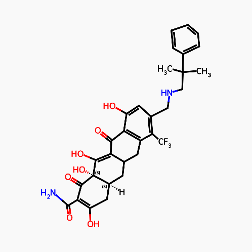 CC(C)(CNCc1cc(O)c2c(c1C(F)(F)F)CC1C[C@H]3CC(O)=C(C(N)=O)C(=O)[C@@]3(O)C(O)=C1C2=O)c1ccccc1